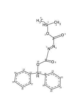 C[SiH](C)OC(=O)N=NC(=O)O[SiH](c1ccccc1)c1ccccc1